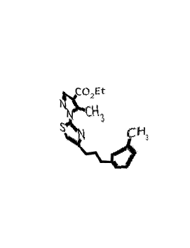 CCOC(=O)c1cnn(-c2nc(CCCc3cccc(C)c3)cs2)c1C